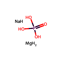 O=P(O)(O)O.[MgH2].[NaH]